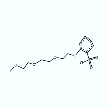 COCCOCCOCCOc1ccccc1S(=O)(=O)Cl